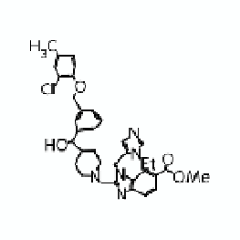 CCn1cncc1Cn1c(CN2CCC(C(O)c3cccc(COc4ccc(C)cc4Cl)c3)CC2)nc2ccc(C(=O)OC)cc21